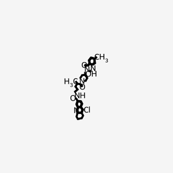 Cc1ccc2c(=O)n(CC3(O)CCN(C(=O)C(C)CCCNC(=O)c4ccc5c(Cl)c6c(nc5c4)CCCC6)CC3)cnc2c1